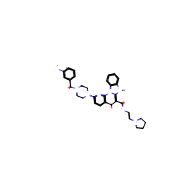 CN(C)c1cccc(C(=O)N2CCN(c3ccc4c(n3)N3C(=C(C(=O)NCCN5CCCC5)C4O)N(C)c4ccccc43)CC2)c1